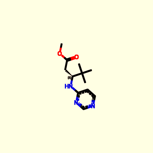 COC(=O)C[C@@H](Nc1ccncn1)C(C)(C)C